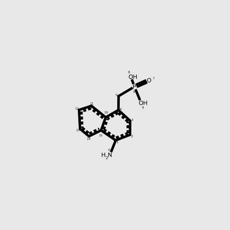 Nc1ccc(CP(=O)(O)O)c2ccccc12